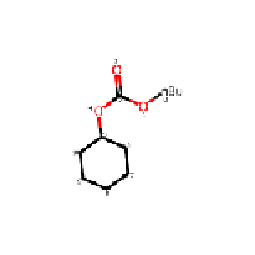 CCCCOC(=O)OC1CCCCC1